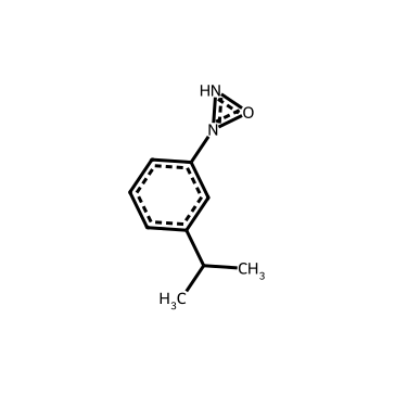 CC(C)c1cccc(-n2[nH]o2)c1